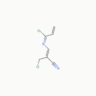 C=C/C(Cl)=N\C=C(\C#N)CCl